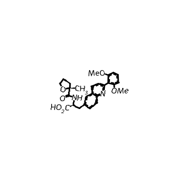 COc1cccc(OC)c1-c1ccc2cc(C[C@H](NC(=O)[C@@]3(C)CCCO3)C(=O)O)ccc2n1